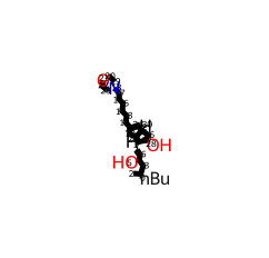 CCCC[C@H](C)C[C@H](O)/C=C/[C@@H]1[C@H]2CC(CCCCCCN3CCOCC3)=C[C@H]2C[C@H]1O